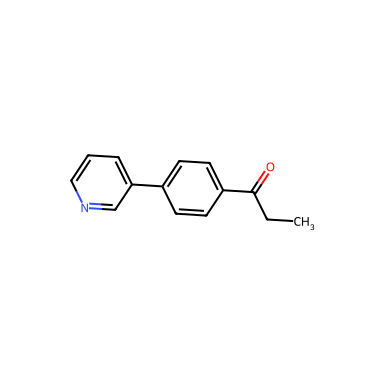 CCC(=O)c1ccc(-c2cccnc2)cc1